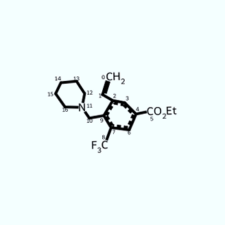 C=Cc1cc(C(=O)OCC)cc(C(F)(F)F)c1CN1CCCCC1